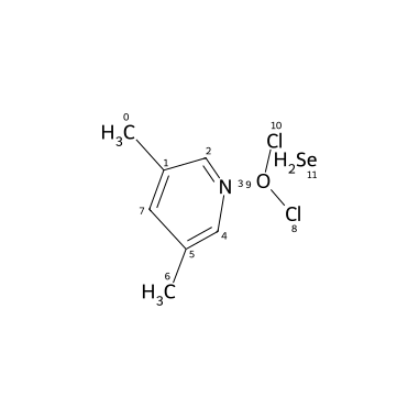 Cc1cncc(C)c1.ClOCl.[SeH2]